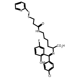 COc1ccc(F)cc1/C(=N\C(CCCCNC(=O)CCSSc1ccccn1)C(=O)O)c1ccc(Cl)cc1